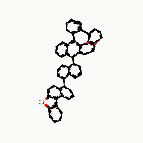 c1ccc(-c2ccccc2-c2c3ccccc3c(-c3cccc4c(-c5cccc6c5ccc5oc7ccccc7c56)cccc34)c3ccccc23)cc1